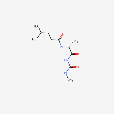 CNC(=O)NC(=O)[C@@H](C)NC(=O)CCC(C)C